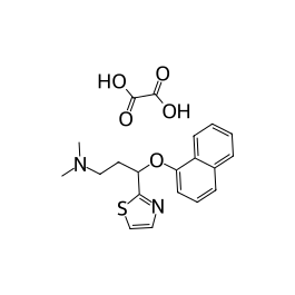 CN(C)CCC(Oc1cccc2ccccc12)c1nccs1.O=C(O)C(=O)O